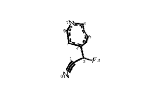 N#CC(F)c1ccncc1